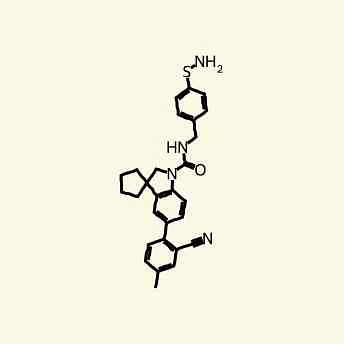 Cc1ccc(-c2ccc3c(c2)C2(CCCC2)CN3C(=O)NCc2ccc(SN)cc2)c(C#N)c1